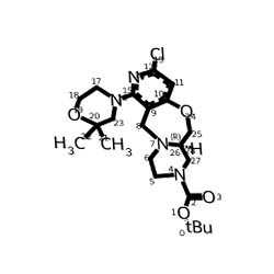 CC(C)(C)OC(=O)N1CCN2Cc3c(cc(Cl)nc3N3CCOC(C)(C)C3)OC[C@H]2C1